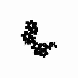 C=CC(=O)N1CCCC1C(=O)N(C)CCc1cc2c(-c3cnn4ncccc34)ccnc2[nH]1